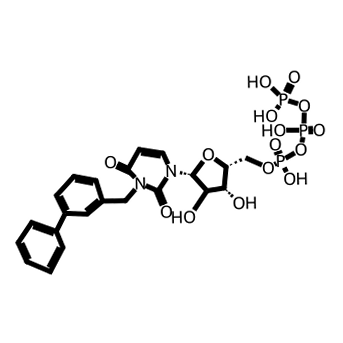 O=c1ccn([C@@H]2O[C@H](COP(=O)(O)OP(=O)(O)OP(=O)(O)O)[C@H](O)C2O)c(=O)n1Cc1cccc(-c2ccccc2)c1